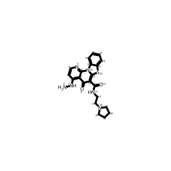 NNc1ccnc2c1c(=O)c(C(=O)NCCN1CCCC1)c1sc3ccccc3n12